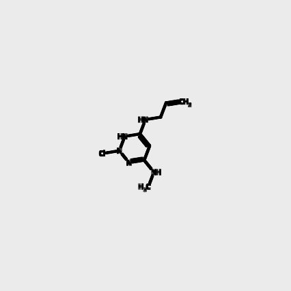 C=CCNC1=CC(NC)=NN(Cl)N1